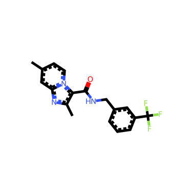 Cc1ccn2c(C(=O)NCc3cccc(C(F)(F)F)c3)c(C)nc2c1